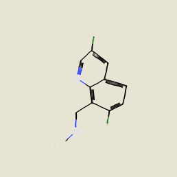 O=CNCc1c(Cl)ccc2cc(Cl)cnc12